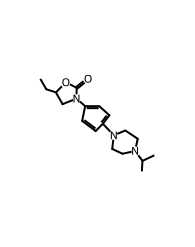 CCC1CN(c2ccc(N3CCN(C(C)C)CC3)cc2)C(=O)O1